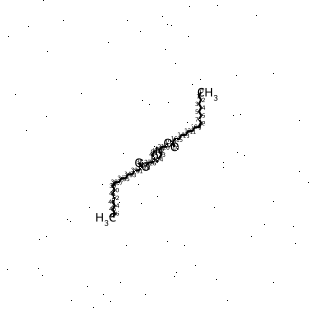 CCCCCCCC/C=C\CCCCCCCC(=O)OCCN1CCN(CCOC(=O)CCCCCCC/C=C\CCCCCCCC)CC1